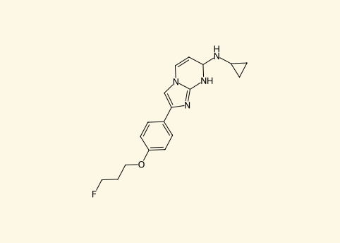 FCCCOc1ccc(-c2cn3c(n2)NC(NC2CC2)C=C3)cc1